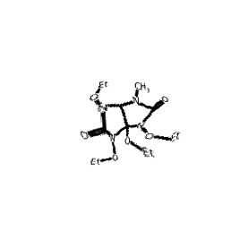 CCON1C(=O)N(OCC)C2(OCC)C1N(C)C(=O)N2OCC